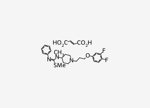 CSC(=Nc1ccccc1)N(C)C1CCN(CCCOc2ccc(F)c(F)c2)CC1.O=C(O)/C=C/C(=O)O